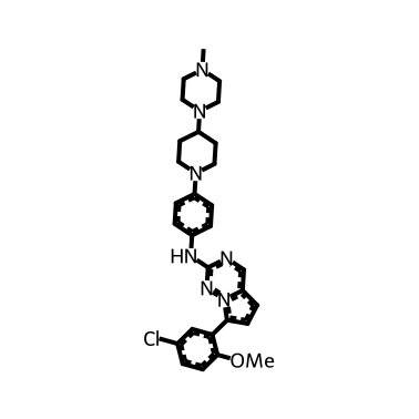 COc1ccc(Cl)cc1-c1ccc2cnc(Nc3ccc(N4CCC(N5CCN(C)CC5)CC4)cc3)nn12